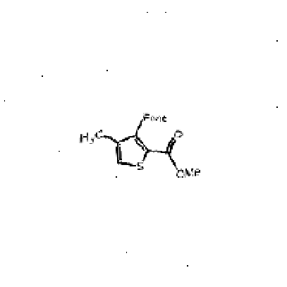 CCCC(C)c1c(C)csc1C(=O)OC